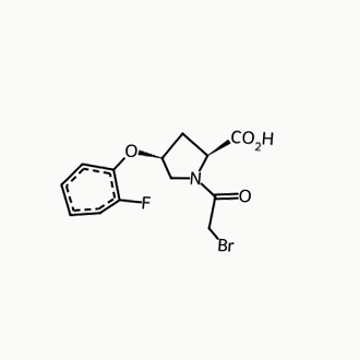 O=C(O)[C@@H]1C[C@H](Oc2ccccc2F)CN1C(=O)CBr